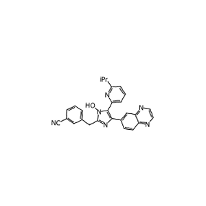 CC(C)c1cccc(-c2c(-c3ccc4nccnc4c3)nc(Cc3cccc(C#N)c3)n2O)n1